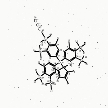 CC1=C(C)[C]([Ti+3])([Si](c2cc(C)c([Si](C)(C)C)c([Si](C)(C)C)c2)(c2cc(C)c([Si](C)(C)C)c([Si](C)(C)C)c2)c2cc(C)c([Si](C)(C)C)c([Si](C)(C)C)c2)C(C)=C1C.[Cl-].[Cl-].[Cl-]